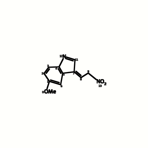 COc1ccc2c(c1)C(=CC[N+](=O)[O-])C=N2